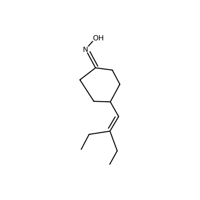 CCC(=CC1CCC(=NO)CC1)CC